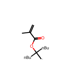 [CH2]C(CCCC)(CCCC)OC(=O)C(=C)C